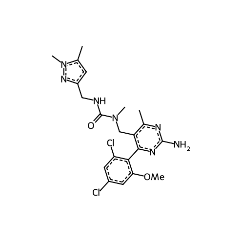 COc1cc(Cl)cc(Cl)c1-c1nc(N)nc(C)c1CN(C)C(=O)NCc1cc(C)n(C)n1